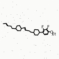 C/C=C/CCC1CCC(/C=C/CCC2CCC(c3ccc(OCC)c(F)c3F)CC2)CC1